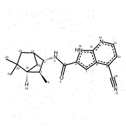 C[C@@H]1[C@@H](NC(=O)c2cc3c(C#N)ccnc3[nH]2)C2C[C@@H]1C(C)(C)C2